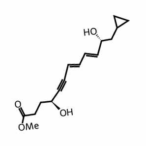 COC(=O)CC[C@H](O)C#C/C=C/C=C/[C@H](O)CC1CC1